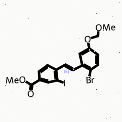 COCOc1ccc(Br)c(/C=C/c2ccc(C(=O)OC)cc2I)c1